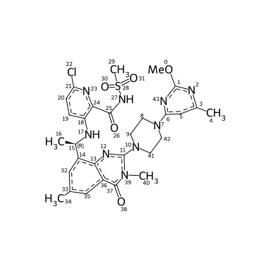 COc1nc(C)cc(N2CCN(c3nc4c([C@@H](C)Nc5ccc(Cl)nc5C(=O)NS(C)(=O)=O)cc(C)cc4c(=O)n3C)CC2)n1